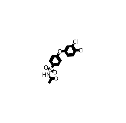 CC(=O)NS(=O)(=O)c1ccc(Oc2ccc(Cl)c(Cl)c2)cc1